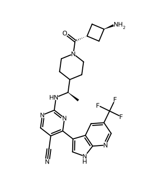 C[C@@H](Nc1ncc(C#N)c(-c2c[nH]c3ncc(C(F)(F)F)cc23)n1)C1CCN(C(=O)[C@H]2C[C@H](N)C2)CC1